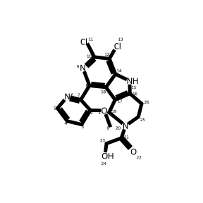 COc1cccnc1-c1nc(Cl)c(Cl)c2[nH]c3c(c12)CN(C(=O)CO)CC3